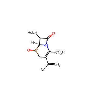 C=C(C#N)C1=C(C(=O)O)N2C(=O)C(NC(C)=O)[C@@H]2[S+]([O-])C1